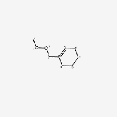 COOCC1=CCCCC1